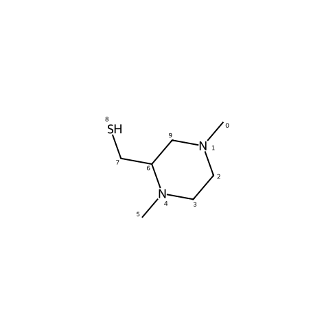 CN1CCN(C)C(CS)C1